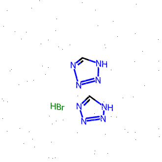 Br.c1nnn[nH]1.c1nnn[nH]1